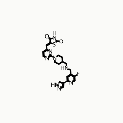 O=C1NC(=O)C(=Cc2ccnc(N3CCC(CNCc4cc(-c5cn[nH]c5)ncc4F)CC3)n2)S1